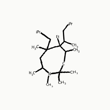 CCC1(C(C)CC(C)C)C(C)CC(C)(C)N(C)C(C)CC1(C)CC(C)C